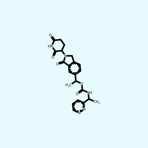 CC(NC(=O)OC(C)c1ccc2c(c1)C(=O)N(C1CCC(=O)NC1=O)C2)c1cccnn1